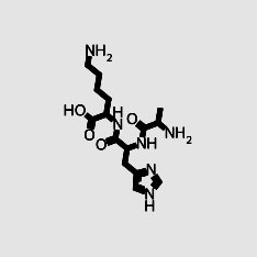 CC(N)C(=O)NC(Cc1c[nH]cn1)C(=O)NC(CCCCN)C(=O)O